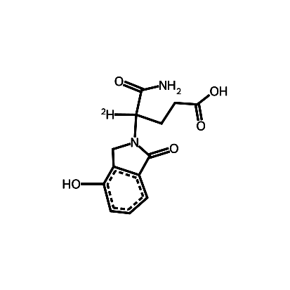 [2H]C(CCC(=O)O)(C(N)=O)N1Cc2c(O)cccc2C1=O